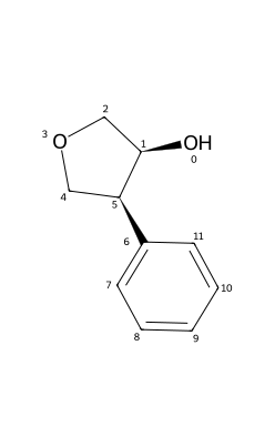 O[C@@H]1COC[C@@H]1c1ccccc1